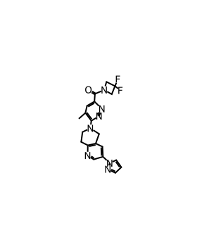 Cc1cc(C(=O)N2CC(F)(F)C2)nnc1N1CCc2ncc(-n3cccn3)cc2C1